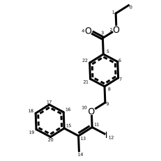 CCOC(=O)c1ccc(COC(I)=C(C)c2ccccc2)cc1